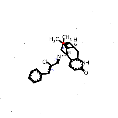 C/C=C1\[C@H]2C=C(C)C[C@]1(/N=C/C(Cl)=C/c1ccccc1)c1ccc(=O)[nH]c1C2